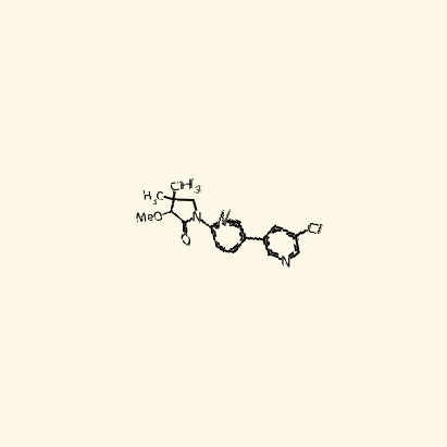 COC1C(=O)N(c2ccc(-c3cncc(Cl)c3)cn2)CC1(C)C